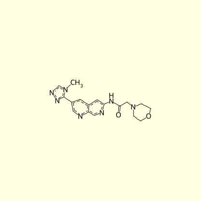 Cn1cnnc1-c1cnc2cnc(NC(=O)CN3CCOCC3)cc2c1